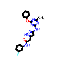 Cc1nc(Nc2cc(CC(=O)Nc3cccc(F)c3)[nH]n2)nc(Oc2ccccc2)n1